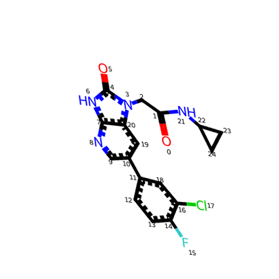 O=C(Cn1c(=O)[nH]c2ncc(-c3ccc(F)c(Cl)c3)cc21)NC1CC1